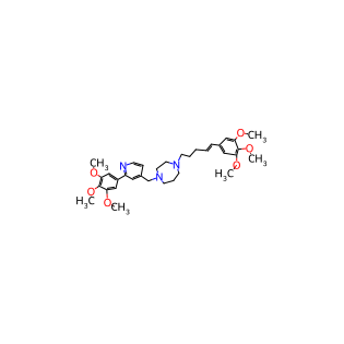 COc1cc(/C=C/CCCN2CCCN(Cc3ccnc(-c4cc(OC)c(OC)c(OC)c4)c3)CC2)cc(OC)c1OC